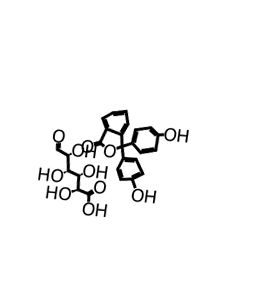 O=C1OC(c2ccc(O)cc2)(c2ccc(O)cc2)c2ccccc21.O=C[C@H](O)[C@@H](O)[C@H](O)[C@H](O)C(=O)O